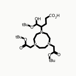 CC(C)(C)OC(=O)CN1CCN(CC(=O)OC(C)(C)C)CCN(C(CCC(=O)O)C(O)OC(C)(C)C)CC1